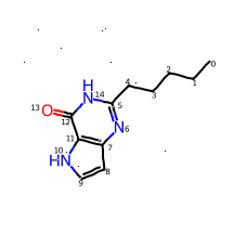 CCCCCc1nc2cc[nH]c2c(=O)[nH]1